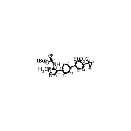 CCOC(=O)C1(c2ccc(-c3ccc(-c4cnn(C)c4NC(=O)OC(C)(C)C)cc3)cc2)CC1